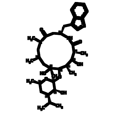 C[C@H]1CN(C)C(=O)C[C@H](Cc2csc3ccccc23)NC(=O)[C@H](C)[C@@H](O)[C@H](C)[C@@H](O[C@@H]2O[C@H](C)C[C@H](N(C)C)[C@H]2O)[C@](C)(O)C1